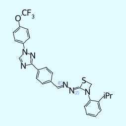 CC(C)c1ccccc1N1CS/C1=N\N=C\c1ccc(-c2ncn(-c3ccc(OC(F)(F)F)cc3)n2)cc1